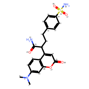 CN(C)c1ccc2c(C(CCc3ccc(S(N)(=O)=O)cc3)C(N)=O)cc(=O)oc2c1